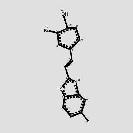 Cc1ccc2sc(C=Cc3ccc(O)c(Br)c3)nc2c1